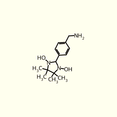 CC1(C)N(O)C(c2ccc(CN)cc2)N(O)C1(C)C